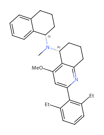 CCc1cccc(CC)c1-c1cc(OC)c2c(n1)CCC[C@H]2N(C)[C@H]1CCCc2ccccc21